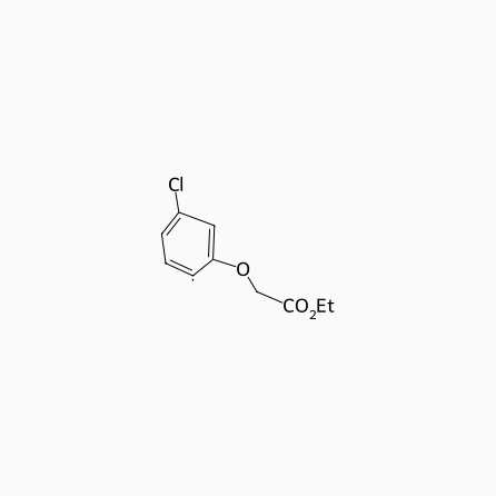 CCOC(=O)COc1[c]ccc(Cl)c1